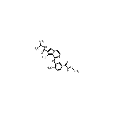 CONC(=O)c1ccc(C)c(Nc2nccn3cc(C(=O)NC(C)C)c(C)c23)c1